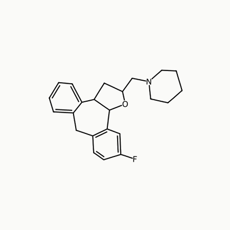 Fc1ccc2c(c1)C1OC(CN3CCCCC3)CC1c1ccccc1C2